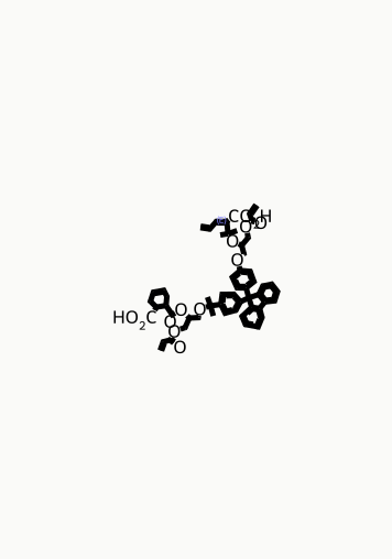 C=C/C=C(/C(=O)O)C(C)(C)OC(COC(=O)C=C)COc1ccc(C2(c3ccc(C(C)(C)OCC(COC(=O)C=C)OC(=O)C4CC=CCC4C(=O)O)cc3)c3ccccc3-c3ccccc32)cc1